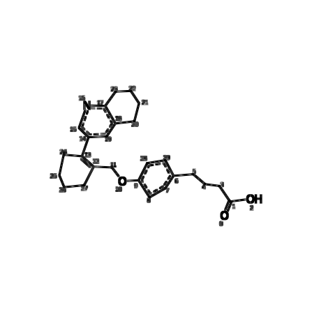 O=C(O)CCCc1ccc(OCC2=C(c3cnc4c(c3)CCCC4)CCCC2)cc1